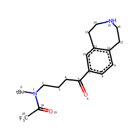 CC(C)(C)N(CCCC(=O)c1ccc2c(c1)CCNCC2)C(=O)C(F)(F)F